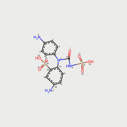 Nc1ccc(N(C(=O)NS(=O)(=O)O)c2ccc(N)cc2S(=O)(=O)O)cc1